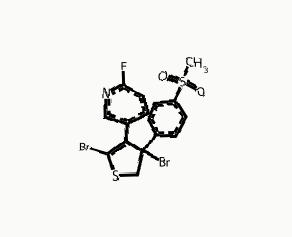 CS(=O)(=O)c1ccc(C2(Br)CSC(Br)=C2c2ccc(F)nc2)cc1